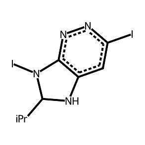 CC(C)C1Nc2cc(I)nnc2N1I